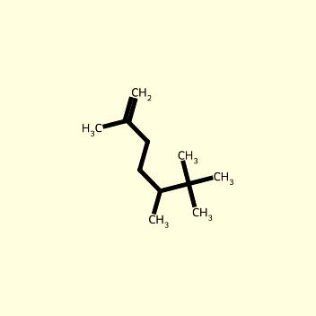 C=C(C)CCC(C)C(C)(C)C